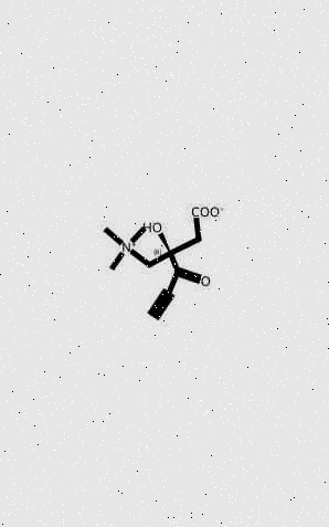 C#CC(=O)[C@@](O)(CC(=O)[O-])C[N+](C)(C)C